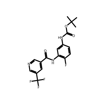 CC(C)(C)OC(=O)Nc1ccc(F)c(NC(=O)c2cncc(C(F)(F)F)c2)c1